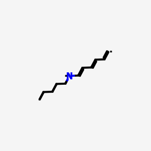 [CH]=CC=CC=C[N]CCCCC